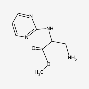 COC(=O)C(CN)Nc1ncccn1